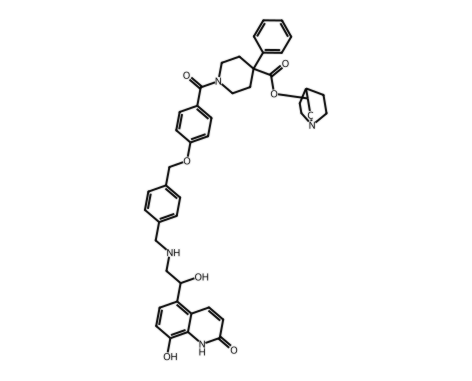 O=C(c1ccc(OCc2ccc(CNCC(O)c3ccc(O)c4[nH]c(=O)ccc34)cc2)cc1)N1CCC(C(=O)OC2CN3CCC2CC3)(c2ccccc2)CC1